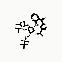 CC(=O)c1csc(C(=O)c2cncnc2N[C@@H]2C[C@H](CO[Si](C)(C)C(C)(C)C)[C@@H](O[Si](C(C)C)(C(C)C)C(C)C)C2)c1